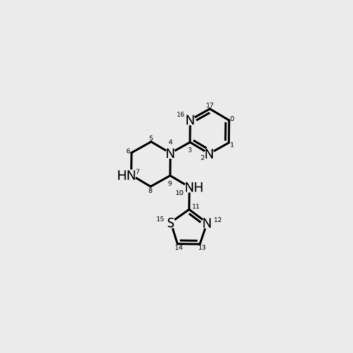 c1cnc(N2CCNCC2Nc2nccs2)nc1